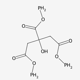 O=C(CC(O)(CC(=O)OP)C(=O)OP)OP